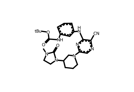 CN1CCN(C2CCCN(c3cnc(C#N)c(Nc4cccc(NC(=O)OC(C)(C)C)c4)n3)C2)C1=O